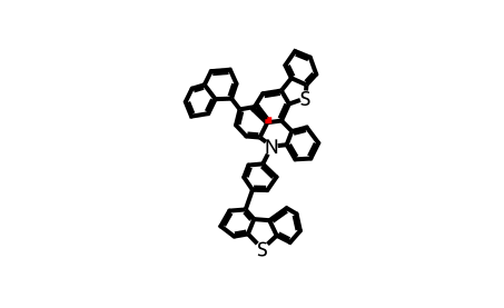 c1ccc(N(c2ccc(-c3cccc4ccccc34)cc2)c2ccc(-c3cccc4sc5ccccc5c34)cc2)c(-c2cccc3c2sc2ccccc23)c1